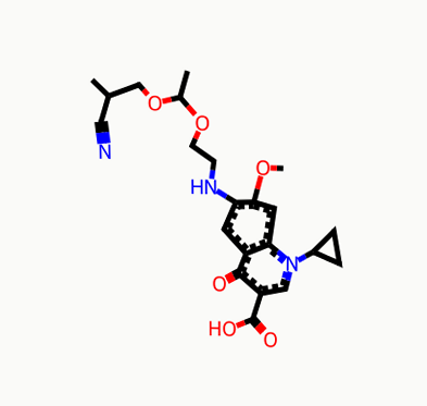 COc1cc2c(cc1NCCOC(C)OCC(C)C#N)c(=O)c(C(=O)O)cn2C1CC1